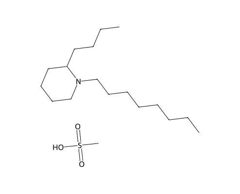 CCCCCCCCN1CCCCC1CCCC.CS(=O)(=O)O